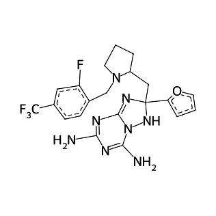 NC1=NC2=NC(CC3CCCN3Cc3ccc(C(F)(F)F)cc3F)(c3ccco3)NN2C(N)=N1